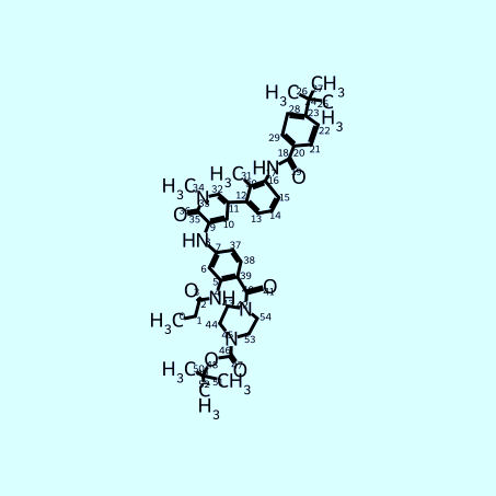 CCC(=O)Nc1cc(Nc2cc(-c3cccc(NC(=O)c4ccc(C(C)(C)C)cc4)c3C)cn(C)c2=O)ccc1C(=O)N1CCN(C(=O)OC(C)(C)C)CC1